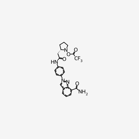 NC(=O)c1cccc2cn(-c3ccc(NC(=O)C[C@@H]4CCCN4OC(=O)C(F)(F)F)cc3)nc12